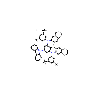 CC(C)(C)c1cc(N2c3cc4c(cc3B3c5cc6c(cc5N(c5cc(C(C)(C)C)cc(C(C)(C)C)c5)c5cc(-n7c8ccccc8c8ccccc87)cc2c53)CCCC6)CCCC4)cc(C(C)(C)C)c1